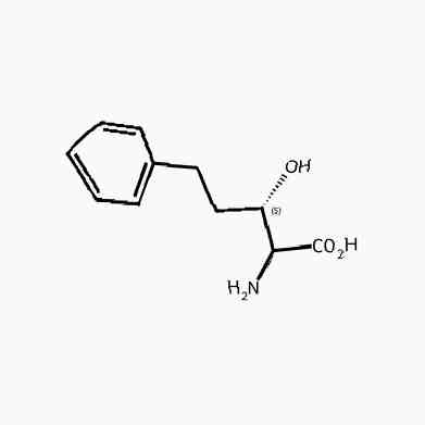 NC(C(=O)O)[C@@H](O)CCc1ccccc1